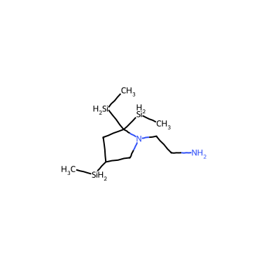 C[SiH2]C1CN(CCN)C([SiH2]C)([SiH2]C)C1